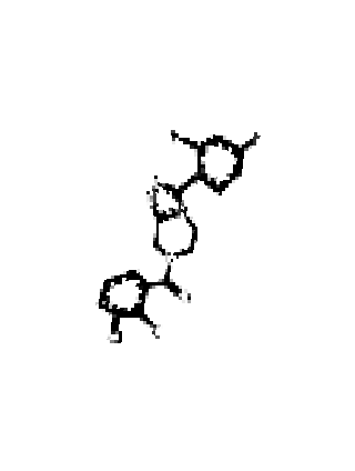 O=C(c1cccc(Cl)c1Cl)N1CCn2c(nnc2-c2ccc(F)cc2F)C1